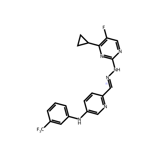 Fc1cnc(N/N=C/c2ccc(Nc3cccc(C(F)(F)F)c3)cn2)nc1C1CC1